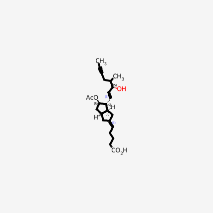 CC#CCC(C)[C@H](O)/C=C/[C@@H]1[C@H]2C/C(=C/CCCC(=O)O)C[C@H]2C[C@H]1OC(C)=O